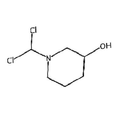 OC1CCCN(C(Cl)Cl)C1